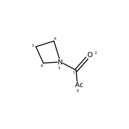 CC(=O)C(=O)N1CCC1